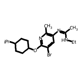 CCNC(C)=Nc1cc(Br)c(OC2CCC(C(C)C)CC2)nc1C